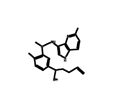 C=CCCC(CCC)c1ccc(C)c(N(C)Nc2c[nH]c3ccc(C)nc23)c1